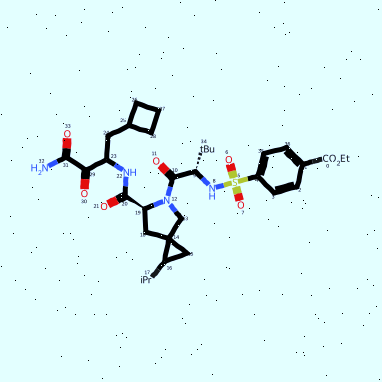 CCOC(=O)c1ccc(S(=O)(=O)N[C@H](C(=O)N2CC3(CC3C(C)C)C[C@H]2C(=O)NC(CC2CCC2)C(=O)C(N)=O)C(C)(C)C)cc1